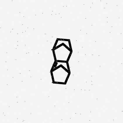 [CH]1CC2CC1=C1[C]3CCC(C3)C12